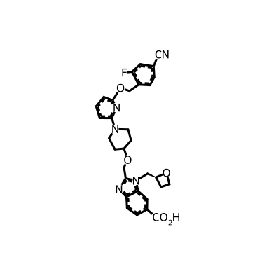 N#Cc1ccc(COc2cccc(N3CCC(OCc4nc5ccc(C(=O)O)cc5n4C[C@@H]4CCO4)CC3)n2)c(F)c1